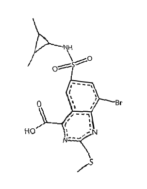 CSc1nc(C(=O)O)c2cc(S(=O)(=O)NC3C(C)C3C)cc(Br)c2n1